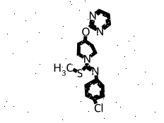 CS/C(=N\c1ccc(Cl)cc1)N1CCC(Oc2ncccn2)CC1